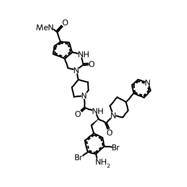 CNC(=O)c1ccc2c(c1)NC(=O)N(C1CCN(C(=O)N[C@H](Cc3cc(Br)c(N)c(Br)c3)C(=O)N3CCC(c4ccncc4)CC3)CC1)C2